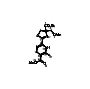 CCOC(=O)C1(COC)CSC(C2=CCC(C(=O)OC)=C(C)N2)=N1